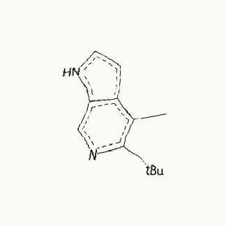 Cc1c(C(C)(C)C)ncc2[nH]ccc12